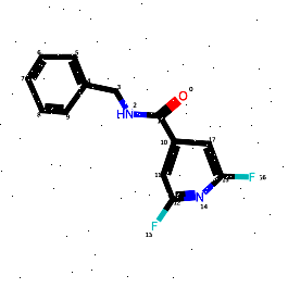 O=C(NCc1ccccc1)c1cc(F)nc(F)c1